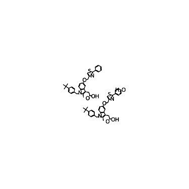 Cc1c(CC(=O)O)c2cc(OCc3csc(-c4ccccc4)n3)ccc2n1Cc1ccc(C(C)(C)C)cc1.Cc1c(CC(=O)O)c2cc(OCc3csc(-c4ccccc4)n3)ccc2n1Cc1ccc(C(C)(C)C)cc1.O